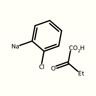 CCC(=O)C(=O)O.[Na][c]1ccccc1Cl